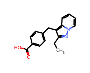 CCc1nn2ccccc2c1Cc1ccc(C(=O)O)cc1